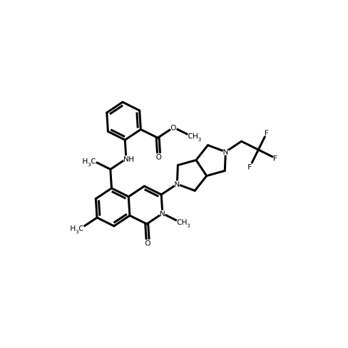 COC(=O)c1ccccc1NC(C)c1cc(C)cc2c(=O)n(C)c(N3CC4CN(CC(F)(F)F)CC4C3)cc12